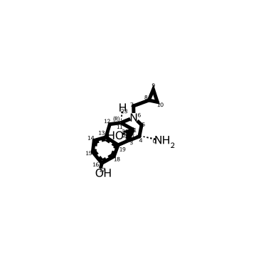 N[C@@H]1C[C@]23CCN(CC4CC4)[C@H](Cc4ccc(O)cc42)[C@]3(O)C1